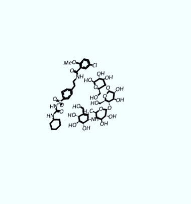 COc1ccc(Cl)cc1C(=O)NCCc1ccc(S(=O)(=O)NC(=O)NC2CCCCC2)cc1.C[C@H]1O[C@H](O[C@H]2[C@H](O)[C@@H](O)[C@@H](O[C@H]3[C@H](O)[C@@H](O)[C@H](O)O[C@@H]3CO)O[C@@H]2CO)[C@H](O)[C@@H](O)[C@@H]1N[C@H]1C=C(CO)[C@@H](O)[C@H](O)[C@H]1O